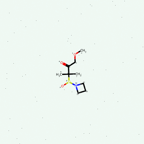 COCC(=O)C(C)(C)[S+]([O-])N1CCC1